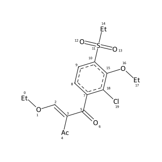 CCOC=C(C(C)=O)C(=O)c1ccc(S(=O)(=O)CC)c(OCC)c1Cl